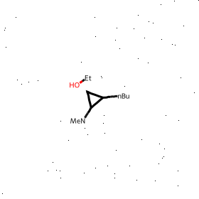 CCCCC1CC1NC.CCO